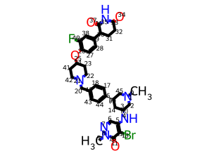 CN1C[C@H](Nc2cnn(C)c(=O)c2Br)C[C@H](c2ccc(CN3CCC(Oc4ccc(C5CCC(=O)NC5=O)cc4F)CC3)cc2)C1